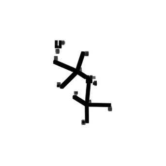 CC(C)(C)[N-]C(C)(C)C.[Li+]